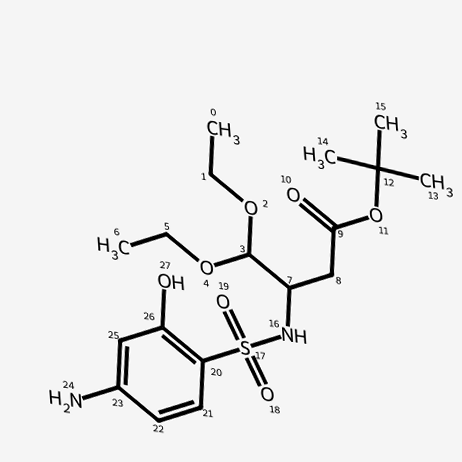 CCOC(OCC)C(CC(=O)OC(C)(C)C)NS(=O)(=O)c1ccc(N)cc1O